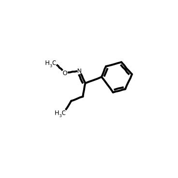 CCC/C(=N\OC)c1ccccc1